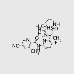 Cc1cc(C#N)cnc1C(=O)Nc1ccc(F)c([C@]2(C)C[SH]3(=O)NCCC[C@@]3(C)C(N)=N2)n1